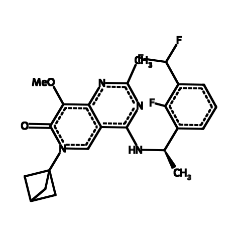 COc1c(=O)n(C23CC(C2)C3)cc2c(N[C@H](C)c3cccc(C(F)F)c3F)nc(C)nc12